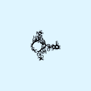 CC(C)(C)OC(=O)N[C@H]1CCCCC/C=C\[C@@H]2C[C@@]2(C(=O)Nc2nccs2)NC(=O)[C@@H]2C[C@@H](OC(=O)N3Cc4cccc(F)c4C3)CN2C1=O